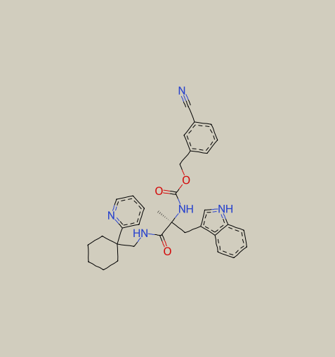 C[C@@](Cc1c[nH]c2ccccc12)(NC(=O)OCc1cccc(C#N)c1)C(=O)NCC1(c2ccccn2)CCCCC1